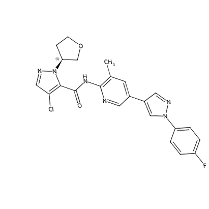 Cc1cc(-c2cnn(-c3ccc(F)cc3)c2)cnc1NC(=O)c1c(Cl)cnn1[C@H]1CCOC1